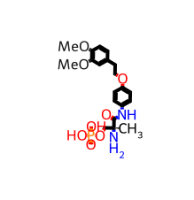 COc1ccc(CCOc2ccc(NC(=O)[C@@](C)(N)COP(=O)(O)O)cc2)cc1OC